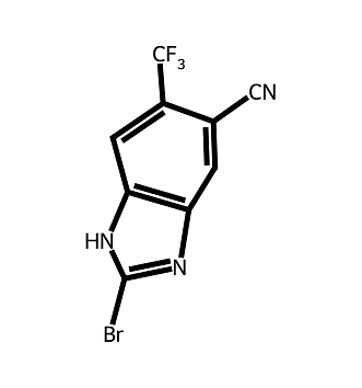 N#Cc1cc2nc(Br)[nH]c2cc1C(F)(F)F